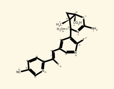 C[C@@]12C[C@]1(C(=O)O)SC(N)=N[C@@]2(C)c1cc(/C=C(\F)c2ccc(C#N)cn2)cnc1F